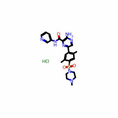 Cc1cc(S(=O)(=O)N2CCN(C)CC2)c(C)cc1-c1cnc(N)c(C(=O)Nc2cccnc2)n1.Cl